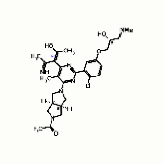 CNC[C@@H](O)COc1ccc(Cl)c(-c2nc(/C(C(C)=N)=C(\C)O)c(C)c(N3C[C@H]4CN(C(=O)C(F)(F)F)C[C@H]4C3)n2)c1